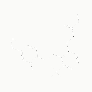 CCC(=S)CCc1cccc(C(F)(F)F)c1COc1ccc(CC)cc1C